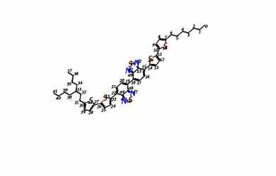 CCCCCCCc1ccc(-c2ccc(-c3ccc(-c4ccc(-c5ccc(-c6ccc(CCC(CCCC)CCCC)s6)s5)c5nsnc45)c4nsnc34)s2)s1